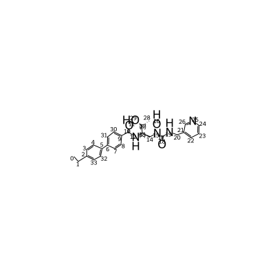 CCc1ccc(-c2ccc(C(=O)N[C@H](CN(O)C(=O)NCc3cccnc3)[C@@H](C)O)cc2)cc1